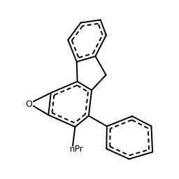 CCCc1c2c(c3c(c1-c1ccccc1)Cc1ccccc1-3)O2